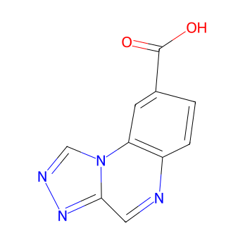 O=C(O)c1ccc2ncc3nncn3c2c1